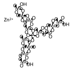 O=P([O][Mo](=[O])(=[O])[O][Mo](=[O])(=[O])[O][Mo](=[O])(=[O])[O][Mo](=[O])(=[O])[OH])([O][Mo](=[O])(=[O])[O][Mo](=[O])(=[O])[O][Mo](=[O])(=[O])[O][Mo](=[O])(=[O])[OH])[O][Mo](=[O])(=[O])[O][Mo](=[O])(=[O])[O][Mo](=[O])(=[O])[O][Mo](=[O])(=[O])[OH].[Zn+2]